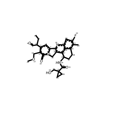 CCC(C=O)c1cc2n(c(=O)c1COC)Cc1c-2nc2cc(F)c(C)c3c2c1C(NC(=O)C1(CO)CC1)CC3